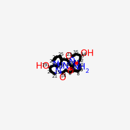 NC(=O)[C@](NC(Cc1cccnc1)C(=O)N1CCC(O)CC1)(C(=O)c1cccnc1)N1CCC(O)CC1